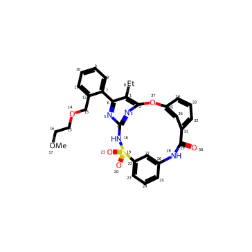 CCc1c2nc(nc1-c1ccccc1COCCOC)NS(=O)(=O)c1cccc(c1)NC(=O)c1cccc(c1)O2